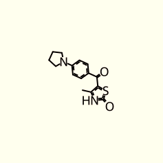 Cc1[nH]c(=O)sc1C(=O)c1ccc(N2CCCC2)cc1